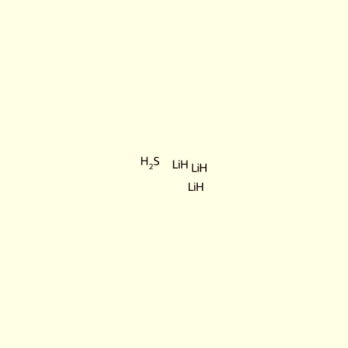 S.[LiH].[LiH].[LiH]